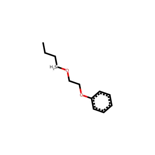 CCC[SiH2]OCCOc1ccccc1